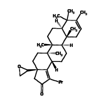 CC1=CC[C@]2(C)[C@H]3CC[C@@H]4C5=C(C(C)C)C(=O)C[C@]5(C5CO5)CC[C@@]4(C)[C@]3(C)CC[C@H]2C1(C)C